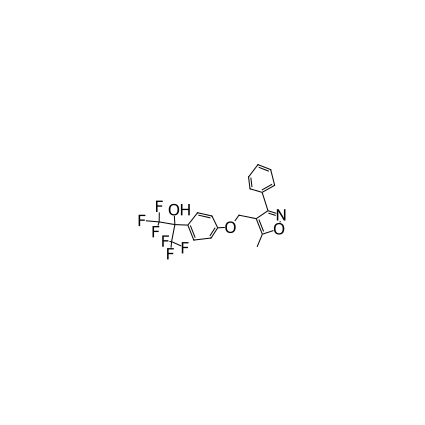 Cc1onc(-c2ccccc2)c1COc1ccc(C(O)(C(F)(F)F)C(F)(F)F)cc1